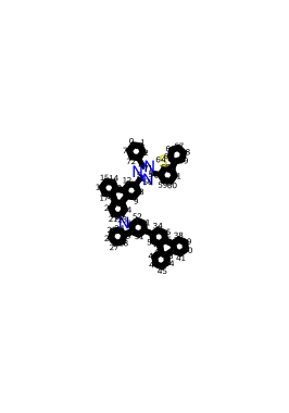 c1ccc(-c2nc(-c3ccc4c(c3)c3ccccc3c3ccc(-n5c6ccccc6c6cc(-c7ccc8c9ccccc9c9ccccc9c8c7)ccc65)cc34)nc(-c3cccc4c3sc3ccccc34)n2)cc1